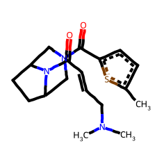 Cc1ccc(C(=O)N2CC3CCC(C2)N3C(=O)/C=C/CN(C)C)s1